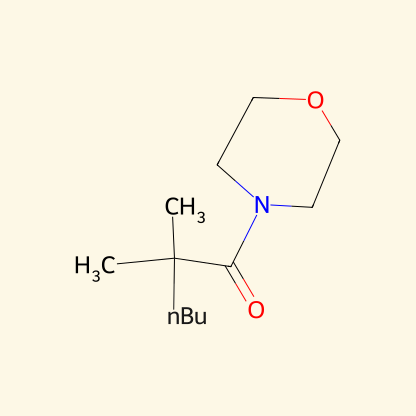 CCCCC(C)(C)C(=O)N1CCOCC1